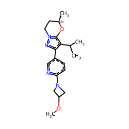 COC1CN(c2ccc(-c3nn4c(c3C(C)C)O[C@H](C)CC4)cn2)C1